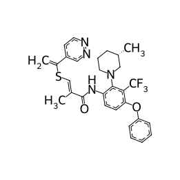 C=C(S/C=C(\C)C(=O)Nc1ccc(Oc2ccccc2)c(C(F)(F)F)c1N1CCC[C@H](C)C1)c1ccnnc1